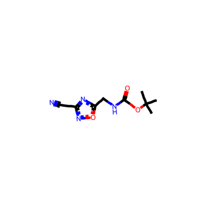 CC(C)(C)OC(=O)NCc1nc(C#N)no1